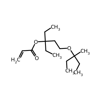 C=CC(=O)OC(CC)(CC)CCOC(C)(CC)CC